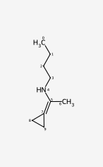 CCCCNC(C)=C1CC1